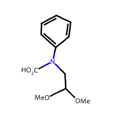 COC(CN(C(=O)O)c1ccccc1)OC